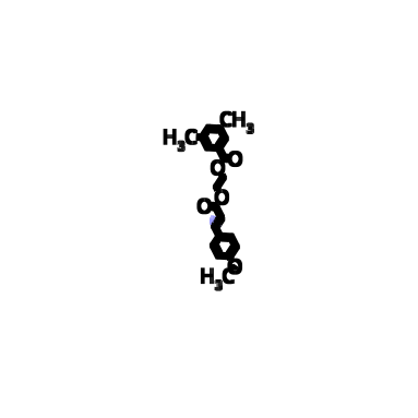 COc1ccc(/C=C/C(=O)OCCOC(=O)c2cc(C)cc(C)c2)cc1